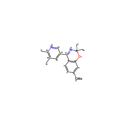 COc1ccc2c(c1)OC(C)(C)N=C2c1cnc(C)c(C)c1